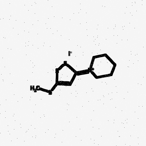 CSc1cc(=[N+]2CCCCC2)ss1.[I-]